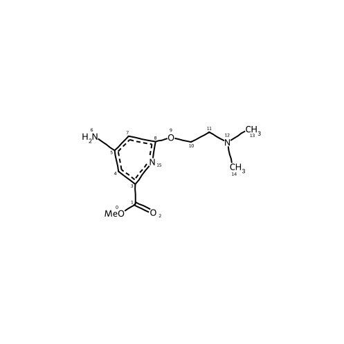 COC(=O)c1cc(N)cc(OCCN(C)C)n1